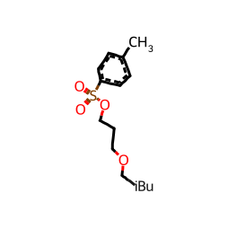 CCC(C)COCCCOS(=O)(=O)c1ccc(C)cc1